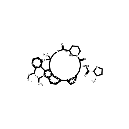 CCn1c(-c2cccnc2[C@H](C)OC)c2c3cc(ccc31)-c1csc(n1)C[C@H](NC(=O)[C@@H]1OCC[C@@H]1C)C(=O)N1CCC[C@H](N1)C(=O)OCC(C)(C)C2